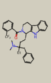 CCC(CCC1c2[nH]c3ccccc3c2CCN1C(=O)c1ccccc1C(F)(F)F)(Cc1ccccc1)N(C)C